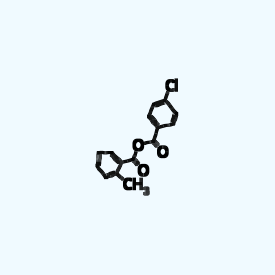 Cc1ccccc1C(=O)OC(=O)c1ccc(Cl)cc1